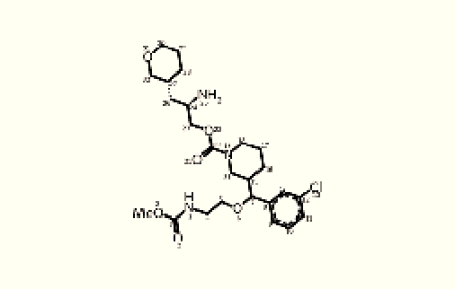 COC(=O)NCCOC(c1cccc(Cl)c1)C1CCCN(C(=O)OC[C@H](N)C[C@H]2CCCOC2)C1